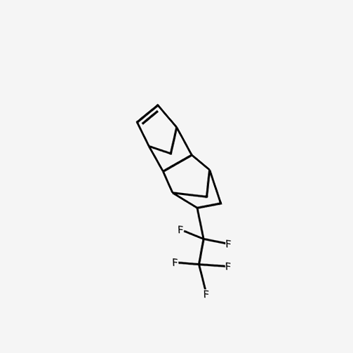 FC(F)(F)C(F)(F)C1CC2CC1C1C3C=CC(C3)C21